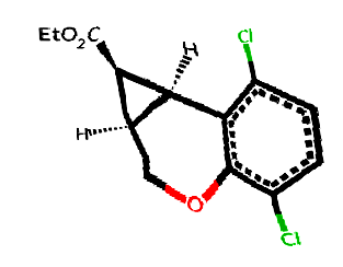 CCOC(=O)[C@@H]1[C@@H]2COc3c(Cl)ccc(Cl)c3[C@@H]21